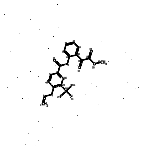 C=CCc1ncc(C(=O)Cc2ccccc2C(=O)C(=O)OC)nc1C(F)(F)F